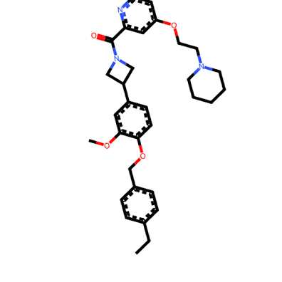 CCc1ccc(COc2ccc(C3CN(C(=O)c4cc(OCCN5CCCCC5)ccn4)C3)cc2OC)cc1